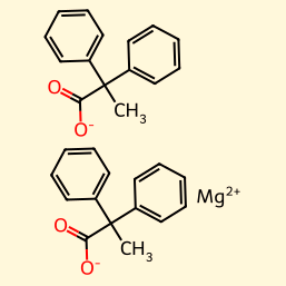 CC(C(=O)[O-])(c1ccccc1)c1ccccc1.CC(C(=O)[O-])(c1ccccc1)c1ccccc1.[Mg+2]